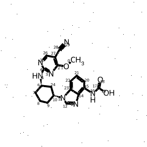 COc1nc(N[C@@H]2CCC[C@H](n3cnc4c(NC(=O)O)cccc43)C2)ncc1C#N